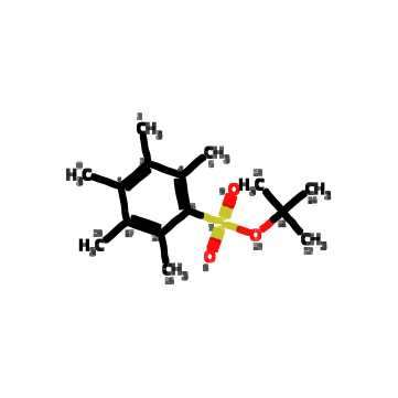 Cc1c(C)c(C)c(S(=O)(=O)OC(C)(C)C)c(C)c1C